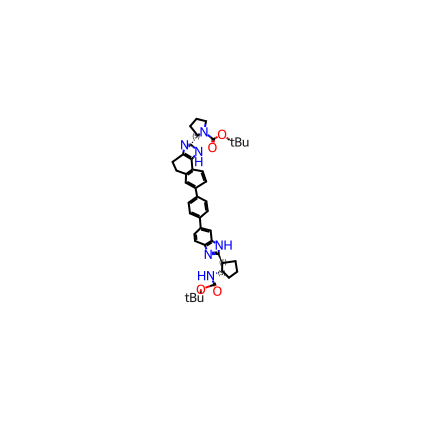 CC(C)(C)OC(=O)N[C@H]1CCC[C@@H]1c1nc2ccc(-c3ccc(-c4ccc5c(c4)CCc4nc([C@@H]6CCCN6C(=O)OC(C)(C)C)[nH]c4-5)cc3)cc2[nH]1